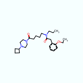 CCCN(CCCCC(=O)N1CCN(C2CCC2)CC1)C(=O)Cc1ccccc1OCC